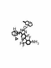 C=C1CN2CCC[C@@]2(COc2nc(N3C[C@@H]4CC[C@](C5CC5)(C3)N4)c3cnc(-c4c(C(F)(F)F)ccc(N)c4F)c(F)c3n2)C1